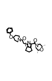 C[C@@H]1CN(C(=O)c2nn(CC(=O)N3CCC(Oc4ccccc4)CC3)c3c2CCC3)C[C@H](C)O1